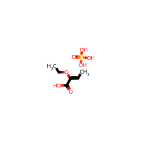 CC=C(OCC)C(=O)O.O=P(O)(O)O